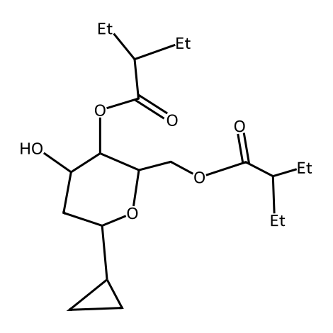 CCC(CC)C(=O)OCC1OC(C2CC2)CC(O)C1OC(=O)C(CC)CC